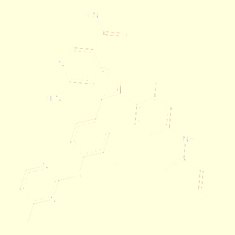 CC=CC(=O)Nc1ccc(-c2sc3c(C(N)=O)cnc(N)c3c2-c2ccc(Oc3nccc(C)n3)c(F)c2)c(Cl)c1